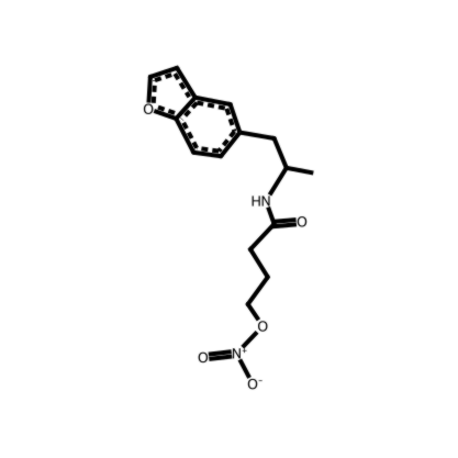 CC(Cc1ccc2occc2c1)NC(=O)CCCO[N+](=O)[O-]